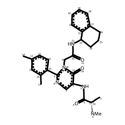 CN[C@@H](C)C(=O)Nc1cnc(-c2ccc(C)cc2C)n(CC(=O)NC2CCCc3ccccc32)c1=O